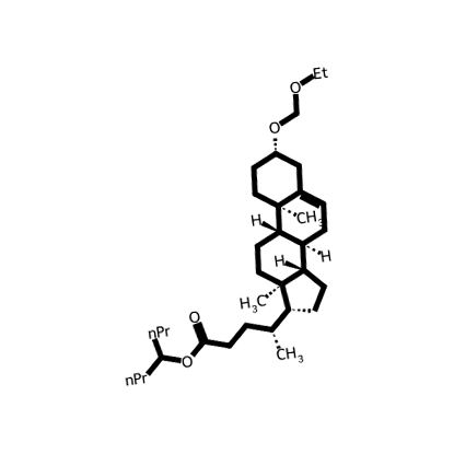 CCCC(CCC)OC(=O)CC[C@@H](C)[C@H]1CC[C@H]2[C@@H]3CC=C4C[C@@H](OCOCC)CC[C@]4(C)[C@H]3CC[C@]12C